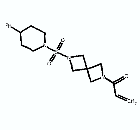 [2H]C1CCN(S(=O)(=O)N2CC3(CN(C(=O)C=C)C3)C2)CC1